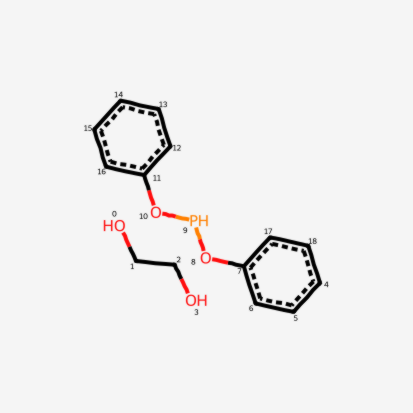 OCCO.c1ccc(OPOc2ccccc2)cc1